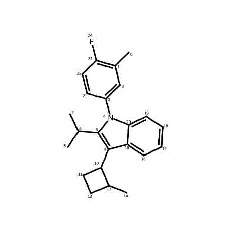 Cc1cc(-n2c(C(C)C)c(C3CCC3C)c3ccccc32)ccc1F